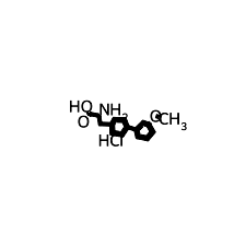 COc1cccc(-c2ccc(CC(N)C(=O)O)cc2)c1.Cl